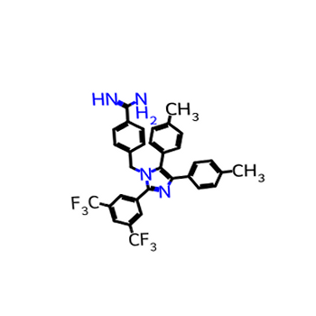 Cc1ccc(-c2nc(-c3cc(C(F)(F)F)cc(C(F)(F)F)c3)n(Cc3ccc(C(=N)N)cc3)c2-c2ccc(C)cc2)cc1